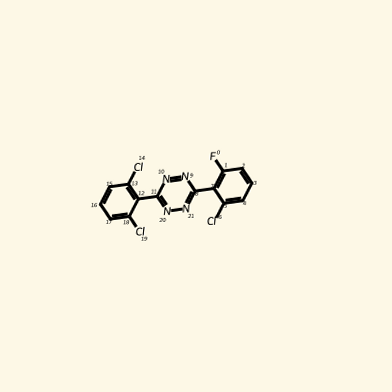 Fc1cccc(Cl)c1-c1nnc(-c2c(Cl)cccc2Cl)nn1